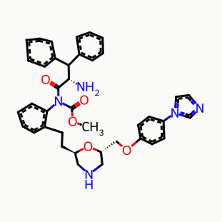 COC(=O)N(C(=O)[C@@H](N)C(c1ccccc1)c1ccccc1)c1ccccc1CC[C@@H]1CNC[C@@H](COc2ccc(-n3ccnc3)cc2)O1